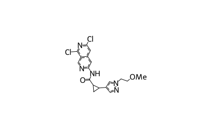 COCCn1cc(C2CC2C(=O)Nc2cc3cc(Cl)nc(Cl)c3cn2)cn1